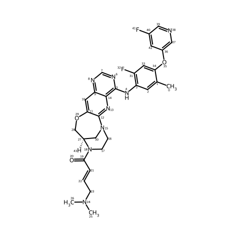 Cc1cc(Nc2ncnc3cc4c(nc23)N2CCN(C(=O)/C=C/CN(C)C)[C@@H](CO4)C2)c(F)cc1Oc1cncc(F)c1